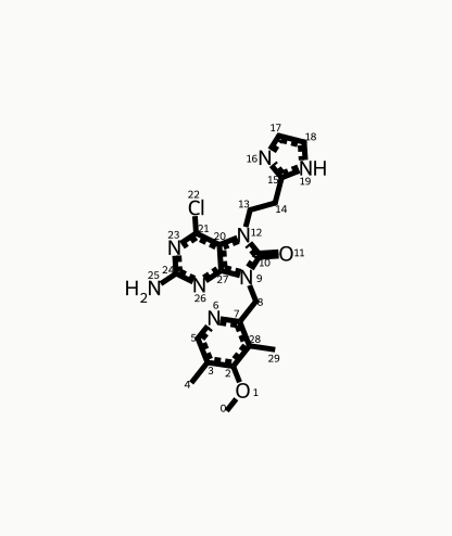 COc1c(C)cnc(Cn2c(=O)n(CCc3ncc[nH]3)c3c(Cl)nc(N)nc32)c1C